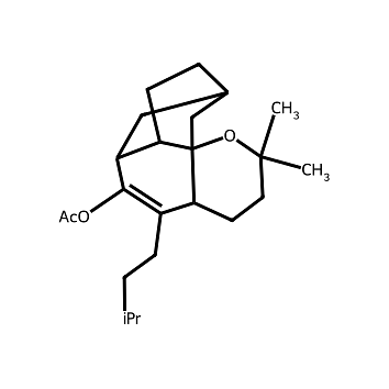 CC(=O)OC1=C(CCC(C)C)C2CCC(C)(C)OC23CC2CCC3C1C2